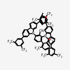 Cc1cc(-c2ccc3c4ccc(-c5cc(C(F)(F)F)cc(C(F)(F)F)c5)cc4n(-c4ccc(-c5c(C(F)(F)F)cccc5C(F)(F)F)c(-n5c6cc(-c7cc(C(F)(F)F)cc(C(F)(F)F)c7)ccc6c6ccc(-c7cc(C(F)(F)F)cc(C(F)(F)F)c7)cc65)c4C#N)c3c2)cc(C(F)(F)F)c1